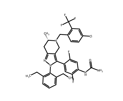 CCc1cccc(CC)c1-n1nc2c(c1-c1cc(F)c(NC(N)=O)cc1F)CN(Cc1ccc(Cl)cc1C(F)(F)F)[C@@H](C)C2